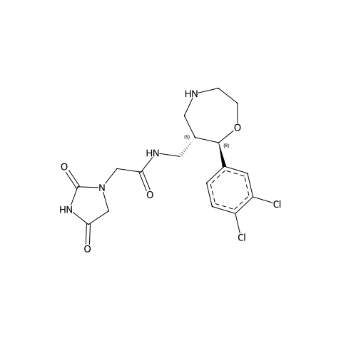 O=C(CN1CC(=O)NC1=O)NC[C@@H]1CNCCO[C@H]1c1ccc(Cl)c(Cl)c1